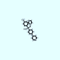 OC(Cn1ccnc1)(c1ccc(Cl)cc1)c1ccc(-c2ccncc2)cc1